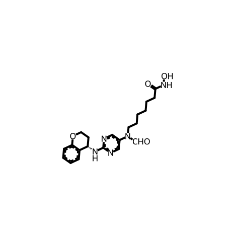 O=CN(CCCCCCC(=O)NO)c1cnc(N[C@H]2CCOc3ccccc32)nc1